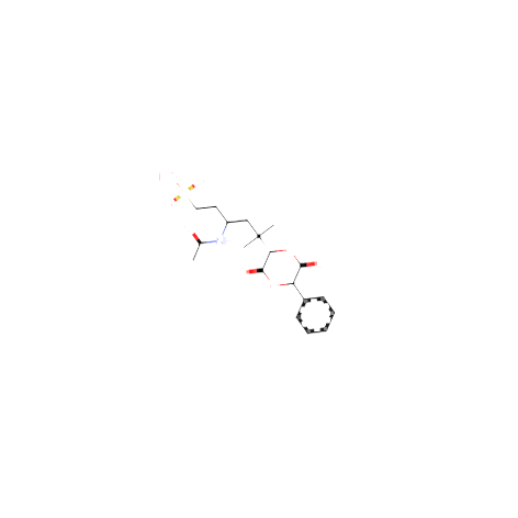 CC(=O)NC(CCS(=O)(=O)O)CC(C)(C)[C@H]1OC(=O)C(c2ccccc2)OC1=O